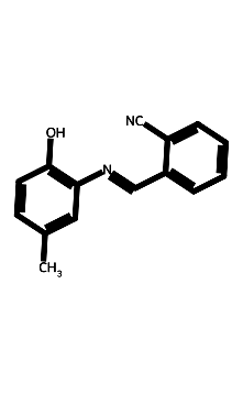 Cc1ccc(O)c(N=Cc2ccccc2C#N)c1